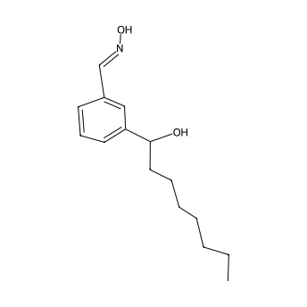 CCCCCCCC(O)c1cccc(C=NO)c1